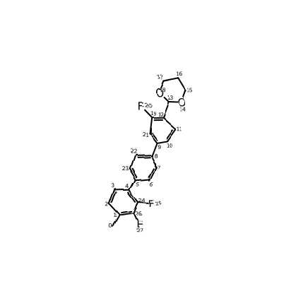 Cc1ccc(-c2ccc(-c3ccc(C4OCCCO4)c(F)c3)cc2)c(F)c1F